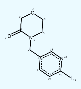 O=C1COCCN1Cc1ccc(I)nc1